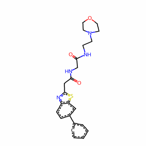 O=C(CNC(=O)Cc1nc2ccc(-c3ccccc3)cc2s1)NCCN1CCOCC1